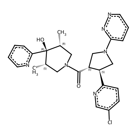 C[C@@H]1CN(C(=O)[C@@H]2CN(c3cccnn3)C[C@H]2c2ccc(Cl)cn2)C[C@H](C)[C@]1(O)c1ccccn1